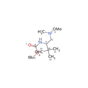 CON(C)CC(NC(=O)OC(C)(C)C)C(C)(C)C=O